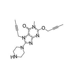 CC#CCOc1nc2nc(N3CCNCC3)n(CC#CC)c2c(=O)n1C